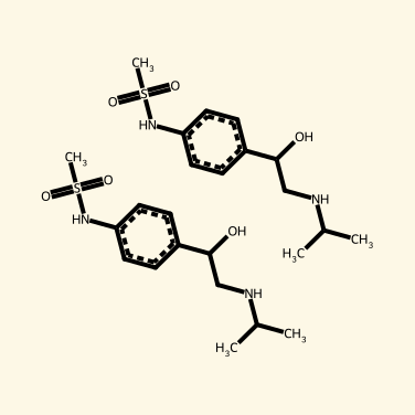 CC(C)NCC(O)c1ccc(NS(C)(=O)=O)cc1.CC(C)NCC(O)c1ccc(NS(C)(=O)=O)cc1